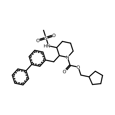 CS(=O)(=O)NC1CCCN(C(=O)OCC2CCCC2)C1Cc1cccc(-c2ccccc2)c1